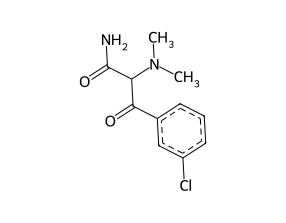 CN(C)C(C(N)=O)C(=O)c1cccc(Cl)c1